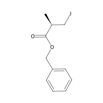 C[C@@H](CI)C(=O)OCc1ccccc1